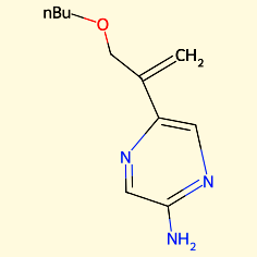 C=C(COCCCC)c1cnc(N)cn1